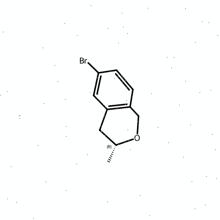 C[C@@H]1Cc2cc(Br)ccc2CO1